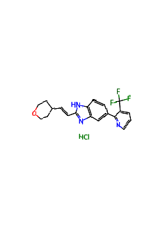 Cl.FC(F)(F)c1cccnc1-c1ccc2[nH]c(C=CC3CCOCC3)nc2c1